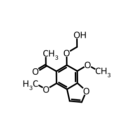 COc1c(C(C)=O)c(OCO)c(OC)c2occc12